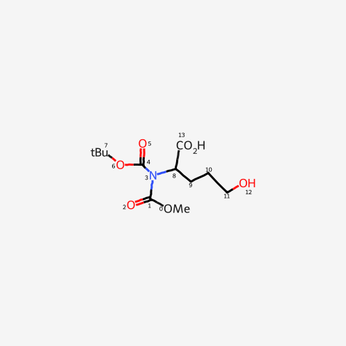 COC(=O)N(C(=O)OC(C)(C)C)C(CCCO)C(=O)O